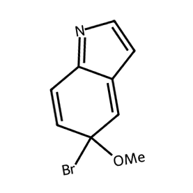 COC1(Br)C=CC2=NC=CC2=C1